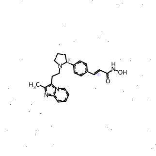 Cc1nc2ccccn2c1CCN1CCC[C@H]1c1ccc(/C=C/C(=O)NO)cc1